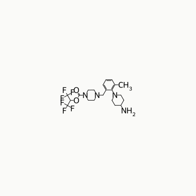 Cc1cccc(CN2CCN(C(=O)OC(C(F)(F)F)C(F)(F)F)CC2)c1N1CCC(N)CC1